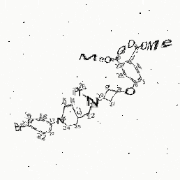 COC(=O)c1ccc(OC2CC(N(CC3CCN(c4ccc(Br)cc4)CC3)C(C)C)C2)cc1C(=O)OC